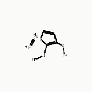 C=C.CCOc1ccsc1OCC